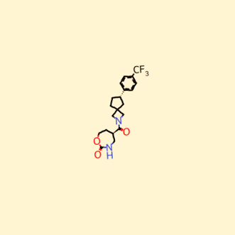 O=C1NC[C@H](C(=O)N2CC3(CC[C@H](c4ccc(C(F)(F)F)cc4)C3)C2)CCO1